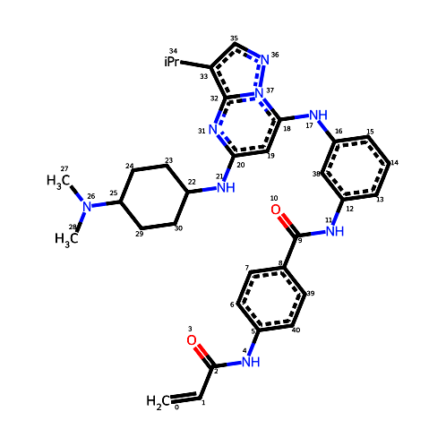 C=CC(=O)Nc1ccc(C(=O)Nc2cccc(Nc3cc(NC4CCC(N(C)C)CC4)nc4c(C(C)C)cnn34)c2)cc1